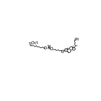 CCCCCCCC/C=C\CCCCCCCCOC[C@@H](COCCCCCCO[C@H]1CC[C@@]2(C)C(=CCC3C4CCC(C(C)CCCC(C)C)[C@@]4(C)CCC32)C1)N(C)C